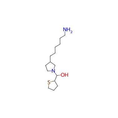 NCCCCCCC1CCN(C(O)C2CCCS2)C1